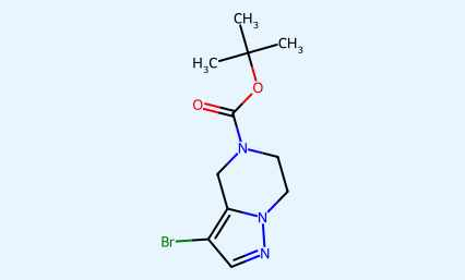 CC(C)(C)OC(=O)N1CCn2ncc(Br)c2C1